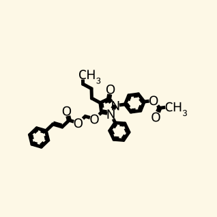 CCCCc1c(OCOC(=O)C=Cc2ccccc2)n(-c2ccccc2)n(-c2ccc(OC(C)=O)cc2)c1=O